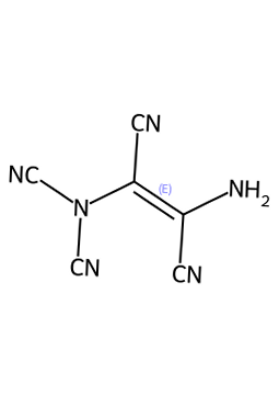 N#C/C(N)=C(/C#N)N(C#N)C#N